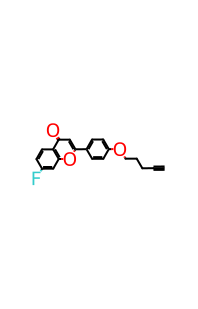 C#CCCCOc1ccc(-c2cc(=O)c3ccc(F)cc3o2)cc1